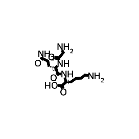 NCCCC[C@H](NC(=O)[C@H](CCC(N)=O)NC(=O)CN)C(=O)O